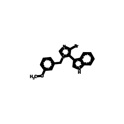 COc1cccc(Cn2cnc(Br)c2-c2c[nH]c3ccccc23)c1